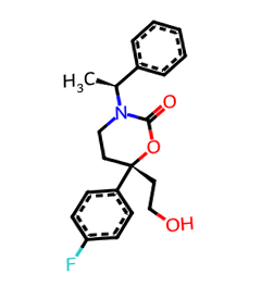 C[C@@H](c1ccccc1)N1CC[C@@](CCO)(c2ccc(F)cc2)OC1=O